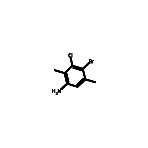 Cc1cc(N)c(C)c(Cl)c1Br